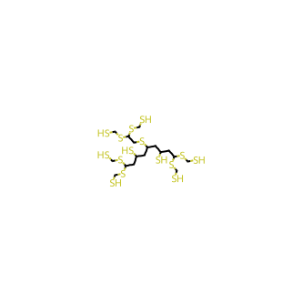 SCSC(CSC(CC(S)CC(SCS)SCS)CC(S)CC(SCS)SCS)SCS